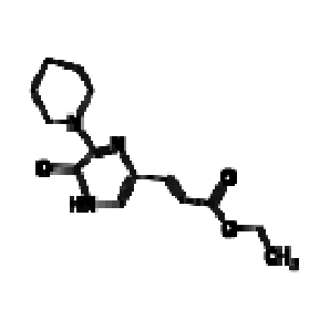 CCOC(=O)/C=C/c1c[nH]c(=O)c(N2CCCCC2)n1